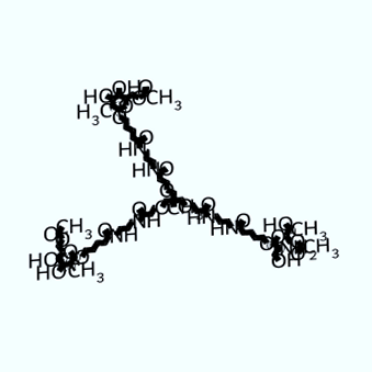 CC(=O)OCC1O[C@@H](OCCCCC(=O)NCCCNC(=O)CCOCC(C)(COCCC(=O)NCCCNC(=O)CCCCO[C@H](OC(COC(C)=O)[C@@H](C)O)[C@@H](N)CO)COCCC(=O)NCCCNC(=O)CCCCO[C@@H]2OC(COC(C)=O)[C@H](O)C(O)[C@@H]2C)[C@@H](C)C(O)C1O